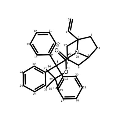 C=CC12CCC(CN(C(c3ccccc3)(c3ccccc3)c3ccccc3)C1)N2C(=O)OC(C)(C)C